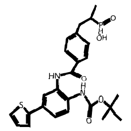 CC(Cc1ccc(C(=O)Nc2cc(-c3cccs3)ccc2NC(=O)OC(C)(C)C)cc1)[PH](=O)O